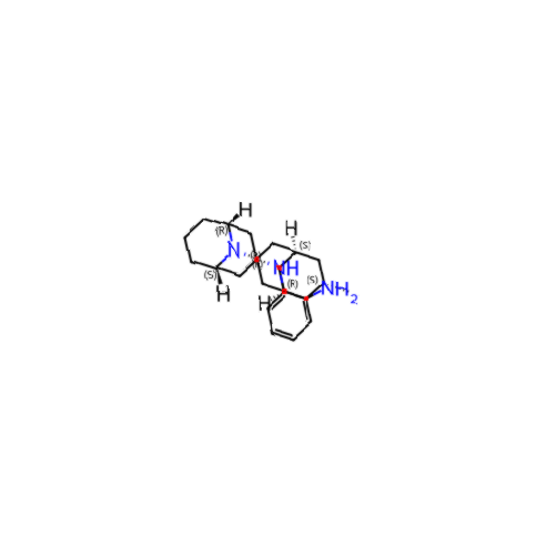 C[C@@H]1C[C@@H]2C[C@H](C1)C[C@@H](N1[C@@H]3CCC[C@H]1C[C@@H](Nc1ccccc1N)C3)C2